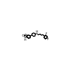 O=c1[nH]c2ccc(C3CCC(NCCCCc4ccc(F)cc4F)CC3)cc2o1